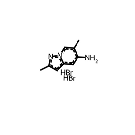 Br.Br.Cc1cc2cc(N)c(C)cn2n1